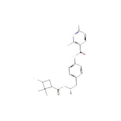 CC(=O)C1CC(C(=O)N[C@@H](Cc2ccc(NC(=O)c3ccc(Cl)nc3Cl)cc2)C(=O)O)C1(C)C